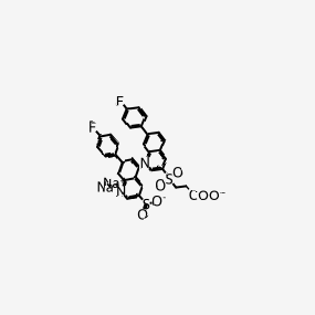 O=C([O-])CCS(=O)(=O)c1cnc2cc(-c3ccc(F)cc3)ccc2c1.O=S([O-])c1cnc2cc(-c3ccc(F)cc3)ccc2c1.[Na+].[Na+]